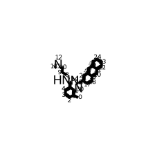 Cc1cccc2c(NCCCN(C)C)nc(-c3ccc4cc5ccccc5cc4c3)nc12